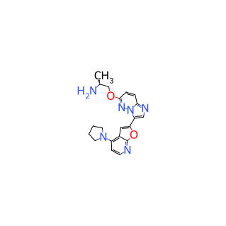 C[C@H](N)COc1ccc2ncc(-c3cc4c(N5CCCC5)ccnc4o3)n2n1